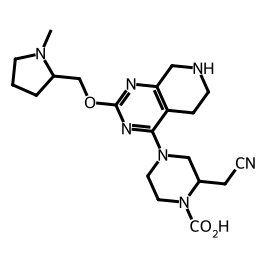 CN1CCCC1COc1nc2c(c(N3CCN(C(=O)O)C(CC#N)C3)n1)CCNC2